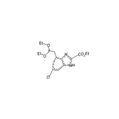 CCOC(=O)c1nc2c(CP(OCC)OCC)cc(Cl)cc2[nH]1